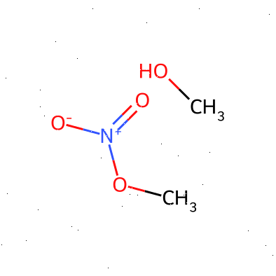 CO.CO[N+](=O)[O-]